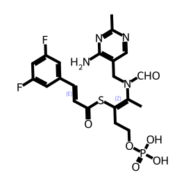 C/C(=C(\CCOP(=O)(O)O)SC(=O)/C=C/c1cc(F)cc(F)c1)N(C=O)Cc1cnc(C)nc1N